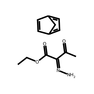 C1=CC2=CC=C1C2.CCOC(=O)C(=NN)C(C)=O